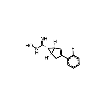 N=C(NO)[C@@H]1[C@H]2C=C(c3ccccc3F)C[C@H]21